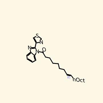 CCCCCCCC/C=C/CCCCCCC(=O)n1c(-c2cscn2)nc2ccccc21